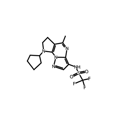 Cc1nc2c(NS(=O)(=O)C(F)(F)F)cnn2c2c1CCN2C1CCCC1